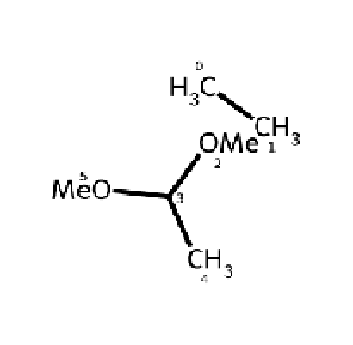 CC.COC(C)OC